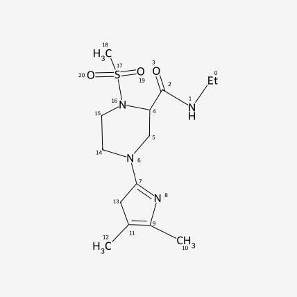 CCNC(=O)C1CN(C2=NC(C)=C(C)C2)CCN1S(C)(=O)=O